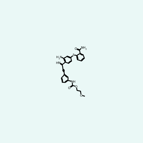 COCCOC(=O)Nc1cccc(C#CC(=N)c2ccc(Sc3ccccc3C(N)=O)cc2N)c1